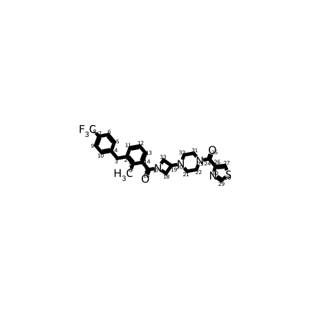 Cc1c(Cc2ccc(C(F)(F)F)cc2)cccc1C(=O)N1CC(N2CCN(C(=O)c3cscn3)CC2)C1